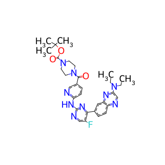 CCN(CC)c1cnc2ccc(-c3nc(Nc4ccc(C(=O)N5CCN(C(=O)OC(C)(C)C)CC5)cn4)ncc3F)cc2n1